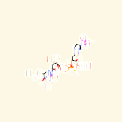 Cc1cn([C@H]2C[C@@H](O)[C@@H](CO[P@](=O)(S)O[C@@H]3C[C@H](n4ccc([N+](=O)[O-])c4)O[C@@H]3CO)O2)c(=O)[nH]c1=O